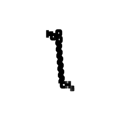 CCCCCCCCCCCCCCOC(=O)OCI